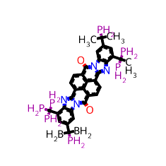 BC(B)(P)c1cc(C(P)(P)P)c2nc3c4ccc5c(=O)n6c7cc(C(C)(C)P)cc(C(C)(P)P)c7nc6c6ccc(c(=O)n3c2c1)c4c56